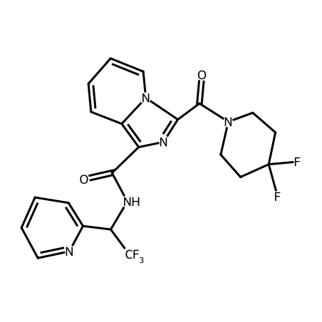 O=C(NC(c1ccccn1)C(F)(F)F)c1nc(C(=O)N2CCC(F)(F)CC2)n2ccccc12